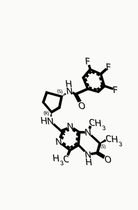 Cc1nc(N[C@@H]2CC[C@H](NC(=O)c3cc(F)c(F)c(F)c3)C2)nc2c1NC(=O)[C@H](C)N2C